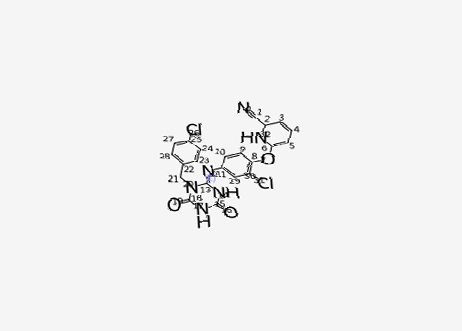 N#CC1C=CC=C(Oc2ccc(/N=c3\[nH]c(=O)[nH]c(=O)n3Cc3ccc(Cl)cc3)cc2Cl)N1